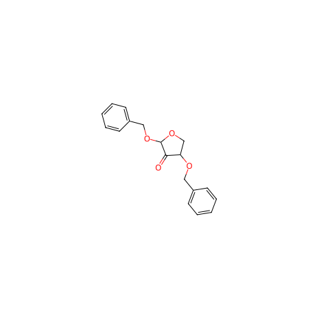 O=C1C(OCc2ccccc2)COC1OCc1ccccc1